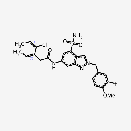 C/C=C(CC(=O)Nc1cc(S(N)(=O)=O)c2cn(Cc3ccc(OC)c(F)c3)nc2c1)\C(Cl)=C/C